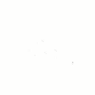 N[C@@H]1CC12CCN(c1cnc3c(-c4ccccc4Cl)n[nH]c3n1)CC2